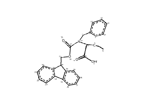 CCC(C(=O)O)N(Cc1ccccc1)C(=O)OCC1c2ccccc2-c2ccccc21